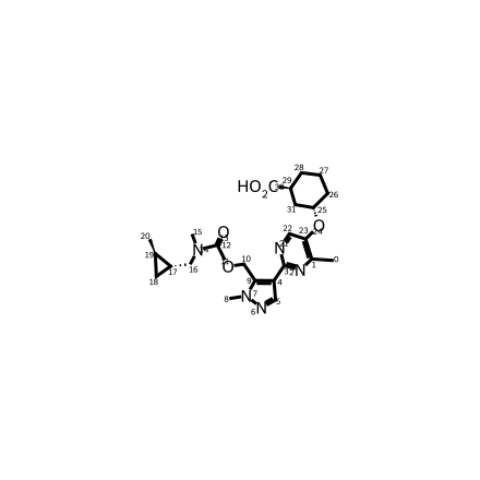 Cc1nc(-c2cnn(C)c2COC(=O)N(C)C[C@@H]2C[C@H]2C)ncc1O[C@H]1CCC[C@H](C(=O)O)C1